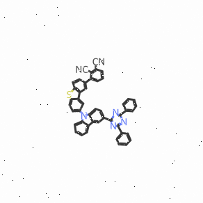 N#Cc1cccc(-c2ccc3sc4ccc(-n5c6ccccc6c6cc(-c7nc(-c8ccccc8)nc(-c8ccccc8)n7)ccc65)cc4c3c2)c1C#N